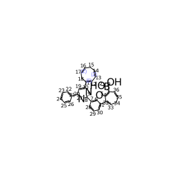 OB(O)C1=c2oc3c(-c4nc(/C5=C/C=C\C/C=C\C5)cc(-c5ccccc5)n4)cccc3c2=CCC=C1